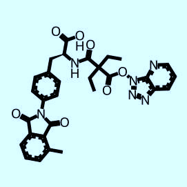 CCC(CC)(C(=O)N[C@@H](Cc1ccc(N2C(=O)c3cccc(C)c3C2=O)cc1)C(=O)O)C(=O)On1nnc2cccnc21